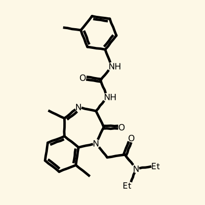 CCN(CC)C(=O)CN1C(=O)C(NC(=O)Nc2cccc(C)c2)N=C(C)c2cccc(C)c21